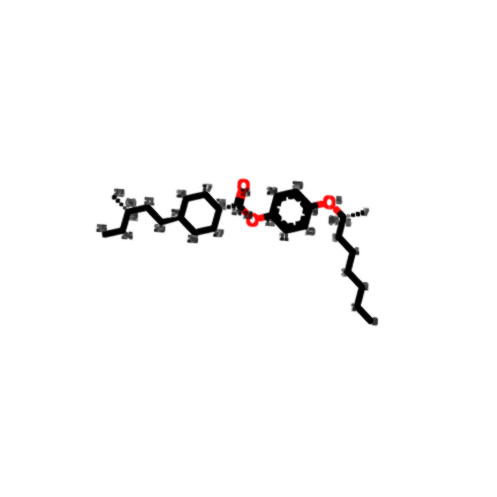 CCCCCC[C@@H](C)Oc1ccc(OC(=O)[C@H]2CC[C@H](CC[C@@H](C)CC)CC2)cc1